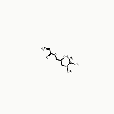 C=CC(=O)OCC(O)CN(C)N(C)C